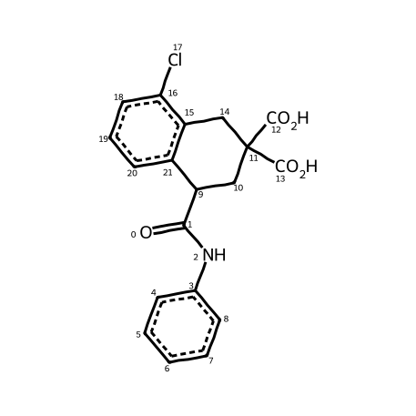 O=C(Nc1ccccc1)C1CC(C(=O)O)(C(=O)O)Cc2c(Cl)cccc21